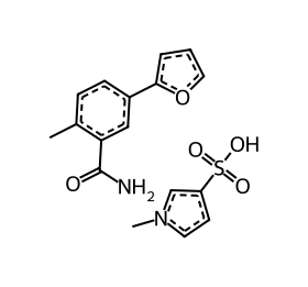 Cc1ccc(-c2ccco2)cc1C(N)=O.Cn1ccc(S(=O)(=O)O)c1